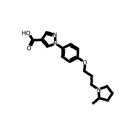 CC1CCCN1CCCOc1ccc(-n2cc(C(=O)O)cn2)cc1